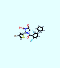 O=C1CN(C(=O)c2c(F)ccc(-c3ccccc3)c2F)C(c2cc(Br)cs2)N1O